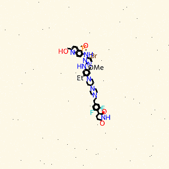 CCc1cc(Nc2ncc(Br)c(Nc3ccc4nc(CO)ccc4c3P(C)(C)=O)n2)c(OC)cc1N1CCC(N2CCN(CCc3cc(F)c(C4CCC(=O)NC4=O)c(F)c3)CC2)CC1